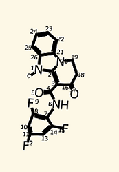 CN1C2=C(C(=O)Nc3c(F)cc(F)cc3F)C(=O)CCN2c2ccccc21